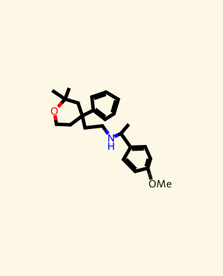 COc1ccc(C(C)NCCC2(c3ccccc3)CCOC(C)(C)C2)cc1